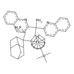 C[Si](C)(C)[C]12[CH]3[C]4(C(P)(c5ccc6ccccc6n5)c5ccc6ccccc6n5)[C]5(C6(CP)C7CC8CC(C7)CC6C8)[CH]1[Fe]34521678[CH]2[CH]1[CH]6[CH]7[CH]28